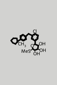 CS[C@H]1OC(c2ccc(Cl)c(Cc3ccc(C4(C)CCCCC4)cc3)c2)[C@H](O)[C@@H](O)[C@@H]1O